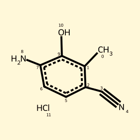 Cc1c(C#N)ccc(N)c1O.Cl